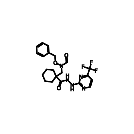 O=CN(CC1(C(=O)NNc2nccc(C(F)(F)F)n2)CCCCC1)OCc1ccccc1